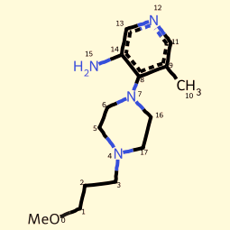 COCCCN1CCN(c2c(C)cncc2N)CC1